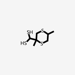 CC1CSC(C)(C(S)S)CS1